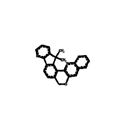 CC1(C)c2cccnc2-c2ccc3c(c21)-c1nc2ccccc2cc1OC3